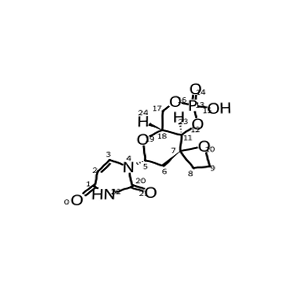 O=c1ccn([C@H]2C[C@@]3(CCO3)[C@@H]3OP(=O)(O)OC[C@H]3O2)c(=O)[nH]1